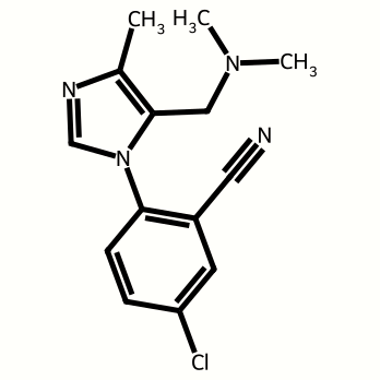 Cc1ncn(-c2ccc(Cl)cc2C#N)c1CN(C)C